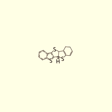 C1=CC2=C(CC1)C1Sc3c(sc4ccccc34)[C@H]1S2